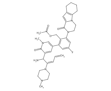 C=C/C=C(\C(N)c1cc(-c2cc(F)cc(N3CCn4c(cc5c4CCCC5)C3=O)c2COC(C)=O)cn(C)c1=O)N1CCN(C)CC1